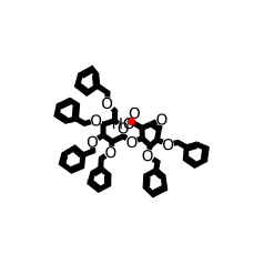 O=C(O)C1C(OC2OC(COCc3ccccc3)C(OCc3ccccc3)C(OCc3ccccc3)C2OCc2ccccc2)C(OCc2ccccc2)C(OCc2ccccc2)C2OC21